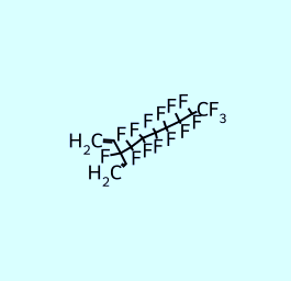 C=CC(F)(C=C)C(F)(F)C(F)(F)C(F)(F)C(F)(F)C(F)(F)C(F)(F)C(F)(F)F